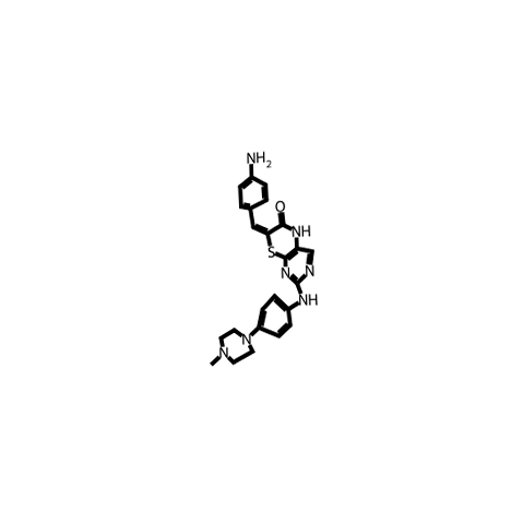 CN1CCN(c2ccc(Nc3ncc4c(n3)S/C(=C/c3ccc(N)cc3)C(=O)N4)cc2)CC1